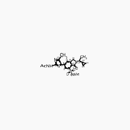 CNS(=O)(=O)c1cc(-c2sc(NC(C)=O)nc2C)cc2c1C(=O)N(C(C)C1CC1)C2